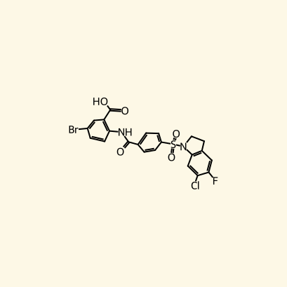 O=C(Nc1ccc(Br)cc1C(=O)O)c1ccc(S(=O)(=O)N2CCc3cc(F)c(Cl)cc32)cc1